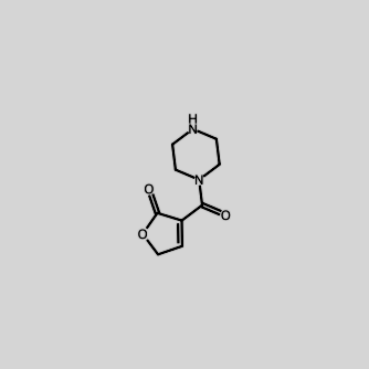 O=C1OCC=C1C(=O)N1CCNCC1